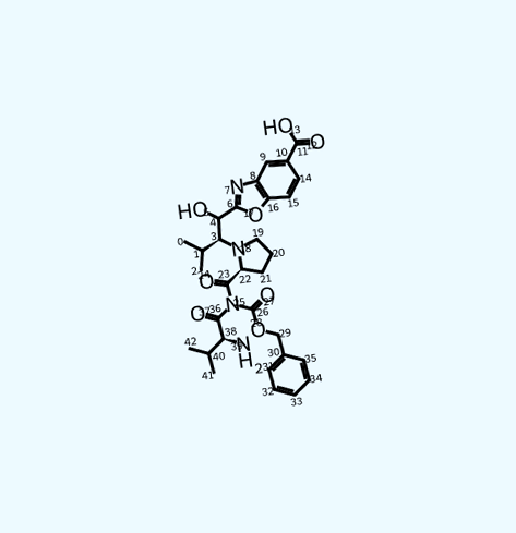 CC(C)[C@@H](C(O)c1nc2cc(C(=O)O)ccc2o1)N1CCC[C@H]1C(=O)N(C(=O)OCc1ccccc1)C(=O)[C@@H](N)C(C)C